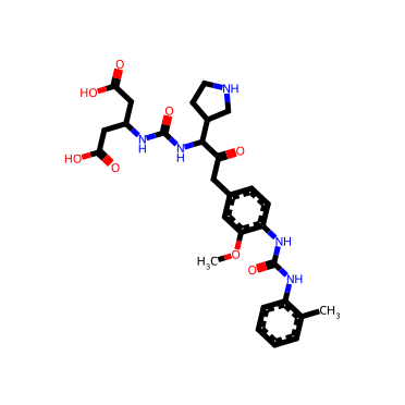 COc1cc(CC(=O)C(NC(=O)NC(CC(=O)O)CC(=O)O)C2CCNC2)ccc1NC(=O)Nc1ccccc1C